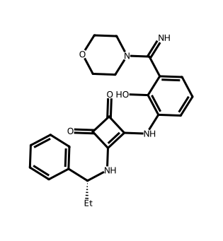 CC[C@@H](Nc1c(Nc2cccc(C(=N)N3CCOCC3)c2O)c(=O)c1=O)c1ccccc1